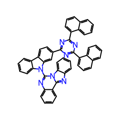 c1ccc2c(-c3nc(-c4ccc5c6ccccc6n(-c6nc7ccccc7c7nc8ccccc8n67)c5c4)nc(-c4cccc5ccccc45)n3)cccc2c1